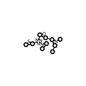 c1ccc(-c2ccc3c(c2)c2cc(-c4ccc5c(c4)oc4cccc(-c6nc(-c7ccc8c(c7)sc7ccccc78)nc(-n7c8ccccc8c8ccccc87)n6)c45)ccc2n3-c2ccccc2)cc1